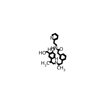 C=C(CN[C@H](C)Cc1cccc(CC(=O)NCCc2ccccn2)c1)c1ccc(O)c(CO)c1